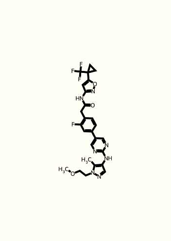 COCCn1ncc(Nc2ncc(-c3ccc(CC(=O)Nc4cc(C5(C(F)(F)F)CC5)on4)c(F)c3)cn2)c1C